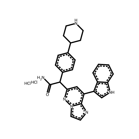 Cl.Cl.NC(=O)C(c1ccc(C2CCNCC2)cc1)c1cc(-c2c[nH]c3ccccc23)c2nccn2n1